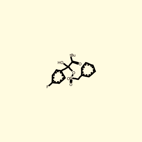 CC(C)(C)C(=O)C(O)(OS(=O)(=O)Cc1ccccc1)c1ccc(F)cc1